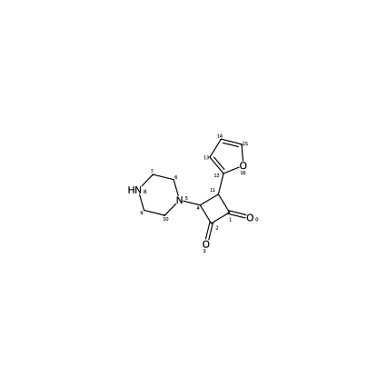 O=C1C(=O)C(N2CCNCC2)C1c1ccco1